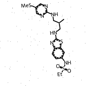 CCS(=O)(=O)Nc1ccc2nc(NCC(C)CNc3ncc(SC)cn3)sc2c1